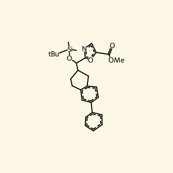 COC(=O)c1cnc(C(O[Si](C)(C)C(C)(C)C)C2CCc3cc(-c4ccccc4)ccc3C2)o1